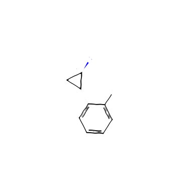 Cc1ccccc1[C@@H]1C[C@H]1N